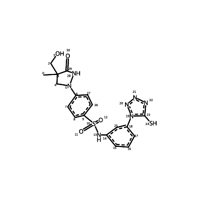 CC1(CO)CN(c2ccc(S(=O)(=O)Nc3cccc(-n4nnnc4S)c3)cc2)NC1=O